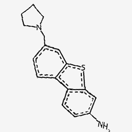 Nc1ccc2c(c1)sc1cc(N3CCCC3)ccc12